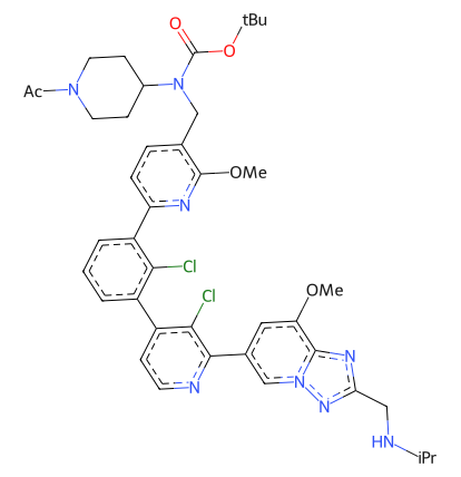 COc1nc(-c2cccc(-c3ccnc(-c4cc(OC)c5nc(CNC(C)C)nn5c4)c3Cl)c2Cl)ccc1CN(C(=O)OC(C)(C)C)C1CCN(C(C)=O)CC1